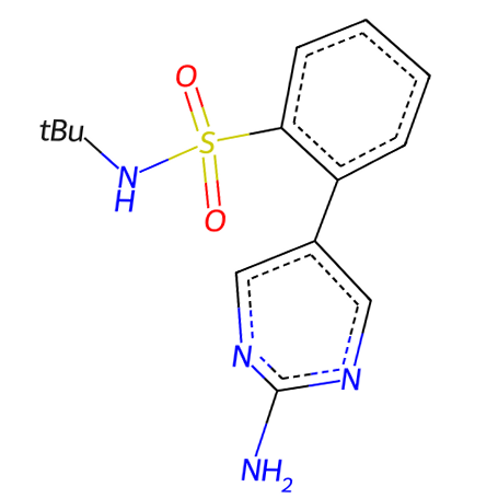 CC(C)(C)NS(=O)(=O)c1ccccc1-c1cnc(N)nc1